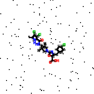 Cc1[nH]c(C(=O)N[C@@H]2[C@@H]3CN(c4nc(Cc5ccc(Cl)cc5)c(C(=O)O)o4)C[C@@H]32)c(Cl)c1Cl